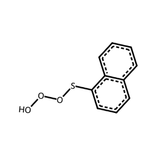 OOOSc1cccc2ccccc12